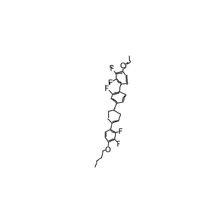 CCCCOc1ccc(C2=CCC(c3ccc(-c4ccc(OCC)c(F)c4F)c(F)c3)CC2)c(F)c1F